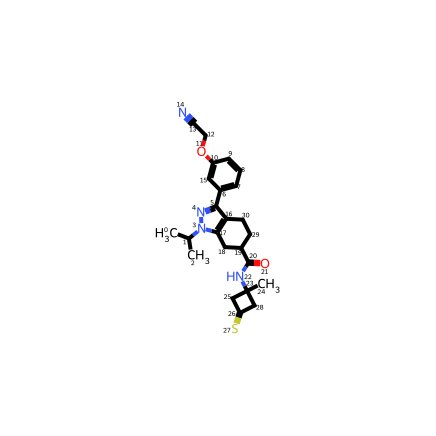 CC(C)n1nc(-c2cccc(OCC#N)c2)c2c1CC(C(=O)NC1(C)CC(=S)C1)CC2